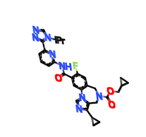 CC(C)n1cnnc1-c1cccc(NC(=O)c2cc3c(cc2F)CN(C(=O)OCC2CC2)Cc2c(C4CC4)ncn2-3)n1